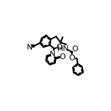 CC1(CNC(=O)OCc2ccccc2)Cc2ccc(C#N)cc2C(n2ccccc2=O)O1